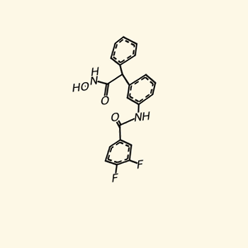 O=C(Nc1cccc(C(C(=O)NO)c2ccccc2)c1)c1ccc(F)c(F)c1